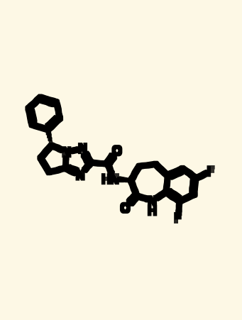 O=C(N[C@H]1CCc2cc(F)cc(F)c2NC1=O)c1nc2n(n1)[C@@H](c1ccccc1)CC2